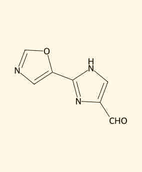 O=Cc1c[nH]c(-c2cnco2)n1